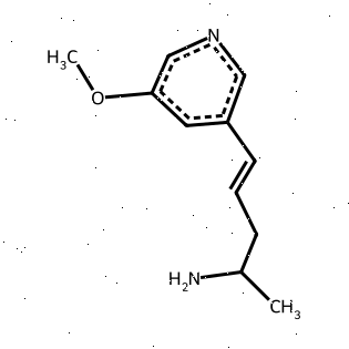 COc1cncc(C=CCC(C)N)c1